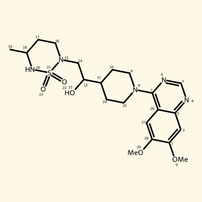 COc1cc2ncnc(N3CCC(C(O)CN4CCC(C)NS4(=O)=O)CC3)c2cc1OC